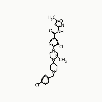 Cc1cc(NC(=O)c2cnc(N3CCN(C4CCN(Cc5ccc(Cl)cc5)CC4)[C@@H](C)C3)c(Cl)c2)no1